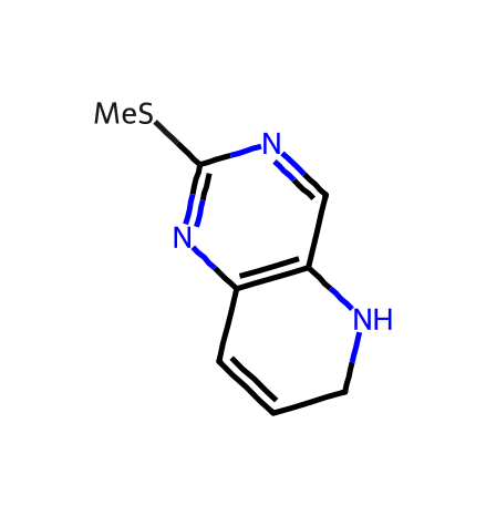 CSc1ncc2c(n1)C=CCN2